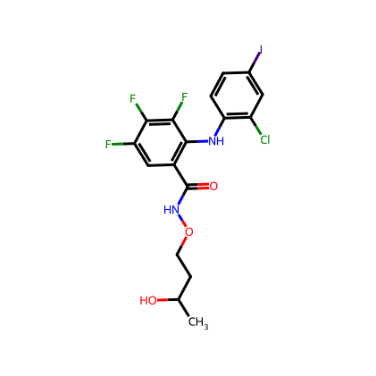 CC(O)CCONC(=O)c1cc(F)c(F)c(F)c1Nc1ccc(I)cc1Cl